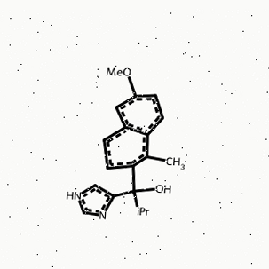 COc1ccc2c(C)c(C(O)(c3c[nH]cn3)C(C)C)ccc2c1